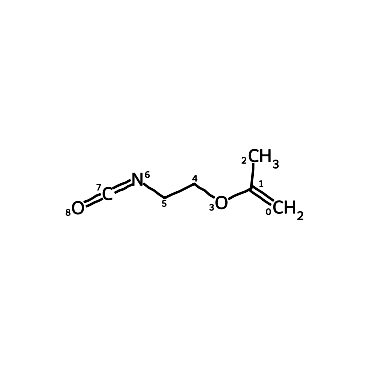 C=C(C)OCCN=C=O